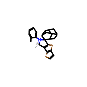 Cc1ccccc1N1[C@@H](C)c2c(sc3ccsc23)C12C1CC3CC(C1)CC2C3